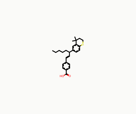 CCCCCC(/C=C/c1ccc(C(=O)O)cc1)c1ccc2c(c1)C(C)(C)CCS2